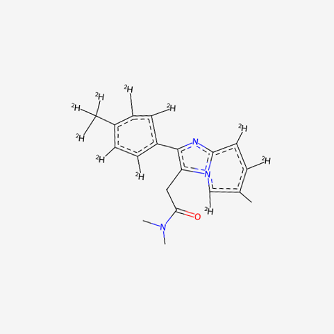 [2H]c1c([2H])c(C([2H])([2H])[2H])c([2H])c([2H])c1-c1nc2c([2H])c([2H])c(C)c([2H])n2c1CC(=O)N(C)C